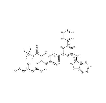 CCOC(=O)ON1CCN(C(=O)[C@H](CCC(=O)OC(C)(C)C)NC(=O)c2cc(N[C@@H]3CCc4ccccc43)nc(-c3ccccc3)n2)CC1